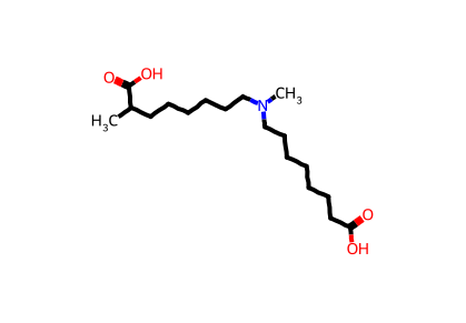 CC(CCCCCCN(C)CCCCCCCC(=O)O)C(=O)O